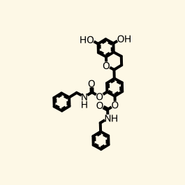 O=C(NCc1ccccc1)Oc1ccc(C2CCc3c(O)cc(O)cc3O2)cc1OC(=O)NCc1ccccc1